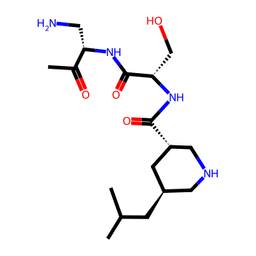 CC(=O)[C@H](CN)NC(=O)[C@H](CO)NC(=O)[C@@H]1CNC[C@@H](CC(C)C)C1